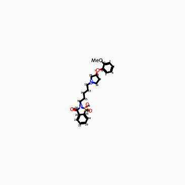 COc1ccccc1OC1CCN(CCCCCN2C(=O)c3ccccc3S2(=O)=O)C1